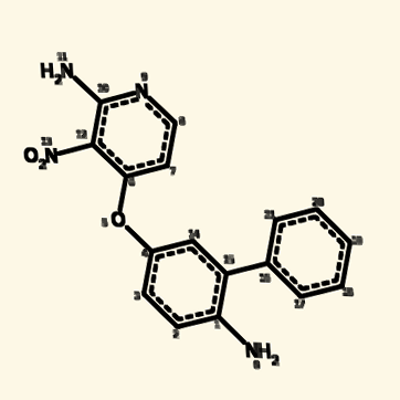 Nc1ccc(Oc2ccnc(N)c2[N+](=O)[O-])cc1-c1ccccc1